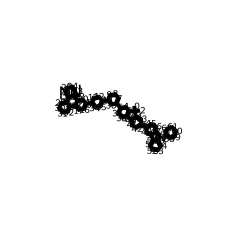 CC1(C)c2cc(-c3cccc(-c4ccc(-c5ccc6c(c5)C5(C)N=CC=NC5c5ccccc5-6)cc4)c3)ccc2-c2ccc(-c3ccc4c(c3)c3ccccc3n4C3=CC=CCC3)cc21